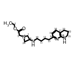 CCOC(=O)CN1CC(NCCCCc2ccc3c(n2)NCCC3)C1